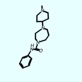 CN1CCC(N2CCCN(C(=O)Nc3ccccc3)CC2)CC1